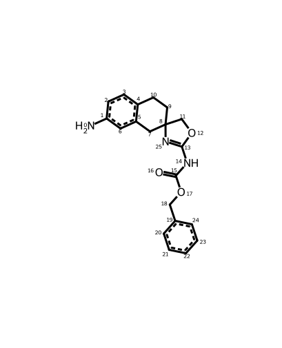 Nc1ccc2c(c1)CC1(CC2)COC(NC(=O)OCc2ccccc2)=N1